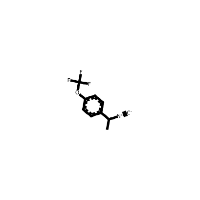 [C-]#[N+]C(C)c1ccc(OC(F)(F)F)cc1